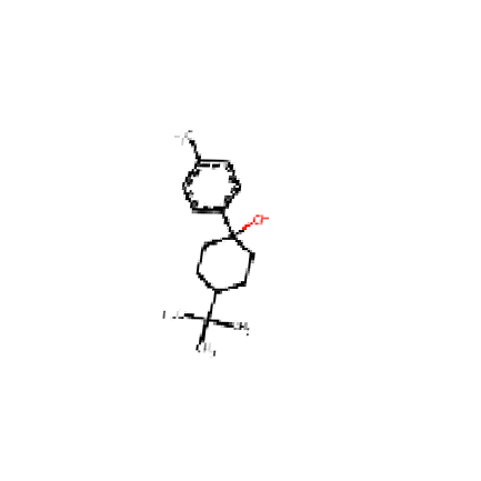 Cc1ccc(C2(O)CCC(C(C)(C)C)CC2)cc1